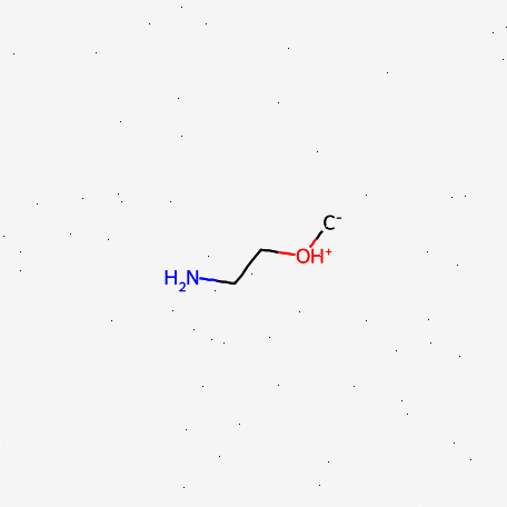 [CH2-][OH+]CCN